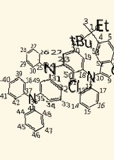 CCC(C)(C)c1ccc2occ(N(c3ccccc3)c3cc(C(C)(C)C)cc(N(c4ccccc4)c4cccc(N(c5ccccc5)c5ccccc5)c4)c3Cl)c2c1